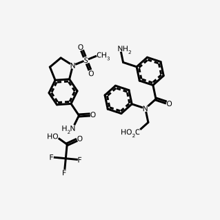 CS(=O)(=O)N1CCc2ccc(C(N)=O)cc21.NCc1cccc(C(=O)N(CC(=O)O)c2ccccc2)c1.O=C(O)C(F)(F)F